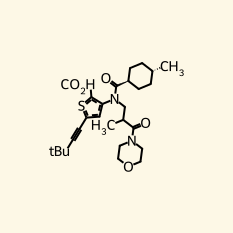 CC(CN(c1cc(C#CC(C)(C)C)sc1C(=O)O)C(=O)[C@H]1CC[C@H](C)CC1)C(=O)N1CCOCC1